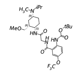 COC[C@@H]1C[C@H](N(C)C(C)C)CC[C@@H]1NC(=O)CNC(=O)c1cc(OC(F)(F)F)ccc1NC(=O)OC(C)(C)C